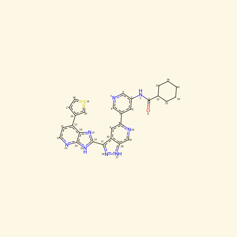 O=C(Nc1cncc(-c2cc3c(-c4nc5c(-c6ccsc6)ccnc5[nH]4)n[nH]c3cn2)c1)C1CCCCC1